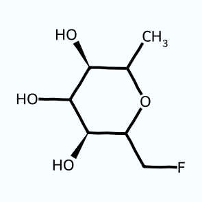 CC1OC(CF)[C@@H](O)C(O)[C@H]1O